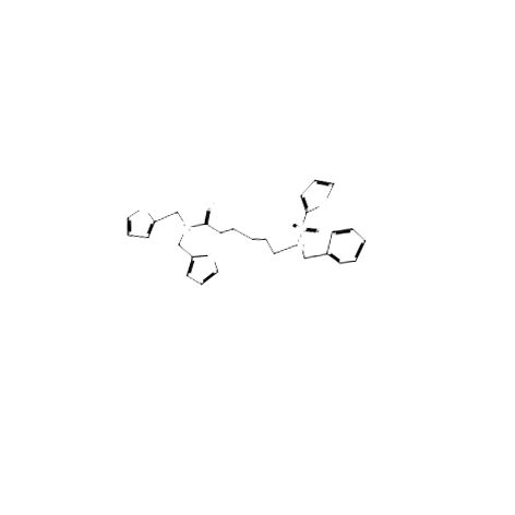 O=C([CH]CCCCN(Cc1ccccc1)S(=O)(=O)c1cccs1)N(Cc1cccs1)Cc1cccs1